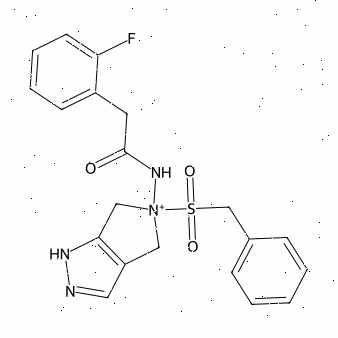 O=C(Cc1ccccc1F)N[N+]1(S(=O)(=O)Cc2ccccc2)Cc2cn[nH]c2C1